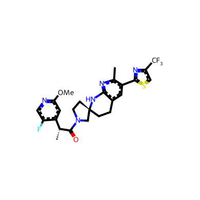 COc1cc([C@@H](C)C(=O)N2CC[C@@]3(CCc4cc(-c5nc(C(F)(F)F)cs5)c(C)nc4N3)C2)c(F)cn1